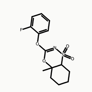 CC12CCCCC1S(=O)(=O)N=C(Oc1ccccc1F)O2